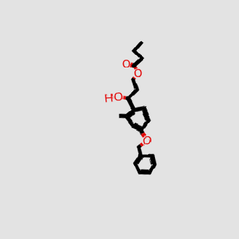 CCCC(=O)OCCC(O)c1ccc(OCc2ccccc2)cc1C